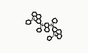 c1ccc(N(c2cc3ccc4cccc5c4c3c(c2)n5-c2ccccc2)c2ccc(N(c3ccccc3)c3cc4ccc5cccc6c5c4c(c3)n6-c3ccccc3)c3ccccc23)cc1